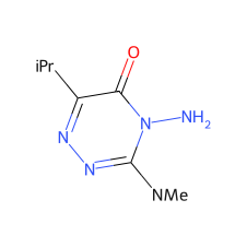 CNc1nnc(C(C)C)c(=O)n1N